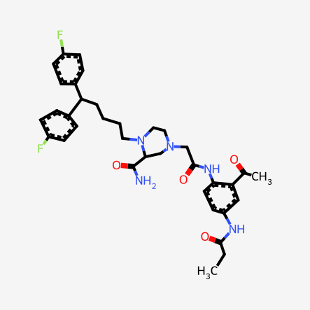 CCC(=O)Nc1ccc(NC(=O)CN2CCN(CCCCC(c3ccc(F)cc3)c3ccc(F)cc3)C(C(N)=O)C2)c(C(C)=O)c1